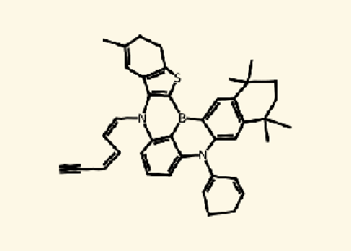 C#C/C=C\C=C/N1c2cccc3c2B(c2cc4c(cc2N3C2=CCCC=C2)C(C)(C)CCC4(C)C)c2sc3c(c21)C=C(C)CC3